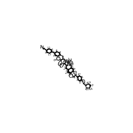 COC(=O)C(Cc1ccc(-c2ccc(C#N)cc2)cc1)NC(=O)C1Cc2cc3c(cc2CN1)OC(c1ccc(OCC2CCCC2)cc1)CO3.Cl